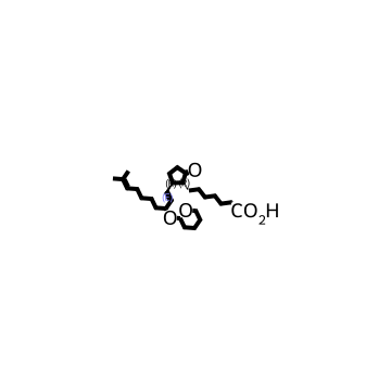 CC(C)=CCCCCC(/C=C/[C@H]1CCC(=O)[C@@H]1CCCCCCC(=O)O)OC1CCCCO1